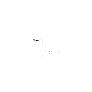 CC[C@@H](Cl)C(=O)OC